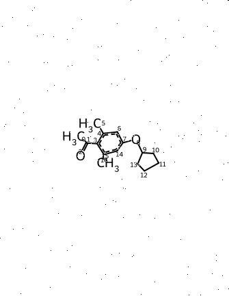 CC(=O)c1c(C)cc(OC2CCCC2)cc1C